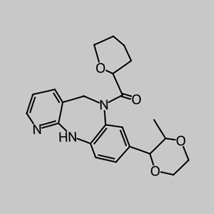 CC1OCCOC1c1ccc2c(c1)N(C(=O)C1CCCCO1)Cc1cccnc1N2